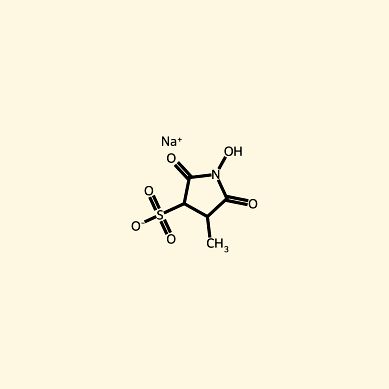 CC1C(=O)N(O)C(=O)C1S(=O)(=O)[O-].[Na+]